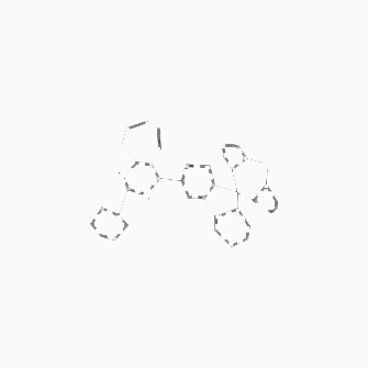 C1=CCc2nc(-c3ccccc3)nc(-c3ccc4c(c3)-c3ccccc3C43c4ccccc4Oc4ccccc43)c2C=C1